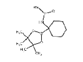 CC(C)(C)[S+]([O-])NC1(B2OC(C)(C)C(C)(C)O2)CCCCC1